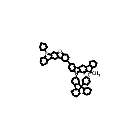 CC1(C)c2ccccc2-c2cc3c4cc(-c5ccc6oc7cc8c(cc7c6c5)c5ccccc5n8-c5ccccc5)ccc4n(-c4ccc5c(c4)C(c4ccccc4)(c4ccccc4)c4ccccc4-5)c3cc21